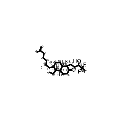 CC(C)CCC[C@@H](C)[C@H]1CC[C@H]2[C@@H]3CCC(=O)[C@](C)(CCC(O)C(F)(F)F)[C@H]3CC[C@]12C